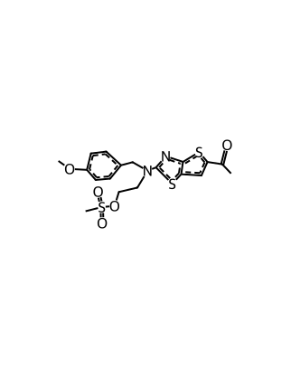 COc1ccc(CN(CCOS(C)(=O)=O)c2nc3sc(C(C)=O)cc3s2)cc1